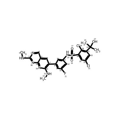 CNc1ncc2cc(-c3cc(F)cc(NS(=O)(=O)c4cc(Cl)cc(C(C)(C)O)c4Cl)c3)c(NC)nc2n1